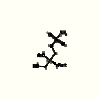 CCCCC[C@](CO)(COS(N)(=O)=O)OC(C)=O